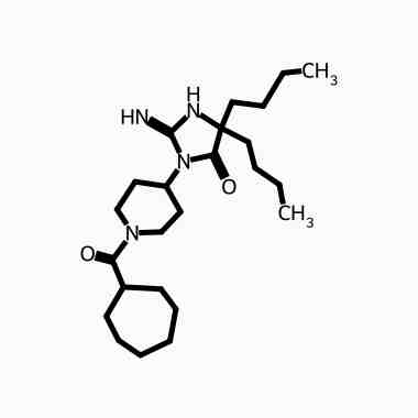 CCCCC1(CCCC)NC(=N)N(C2CCN(C(=O)C3CCCCCC3)CC2)C1=O